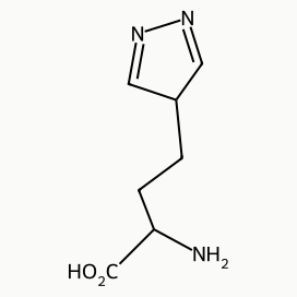 NC(CCC1C=NN=C1)C(=O)O